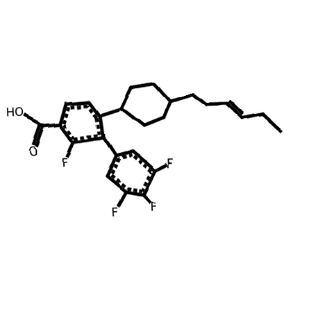 CCC=CCCC1CCC(c2ccc(C(=O)O)c(F)c2-c2cc(F)c(F)c(F)c2)CC1